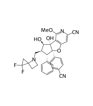 COc1nc(C#N)cc2c1[C@]1(O)[C@H](O)[C@H](CN3CCC34CC4(F)F)[C@@H](c3ccccc3)[C@]1(c1ccc(C#N)cc1)O2